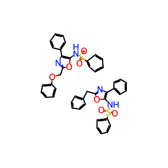 O=S(=O)(Nc1oc(COc2ccccc2)nc1-c1ccccc1)c1ccccc1.O=S(=O)(Nc1oc(Cc2ccccc2)nc1-c1ccccc1)c1ccccc1